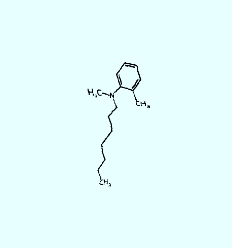 CCCCCCCN(C)c1ccccc1C